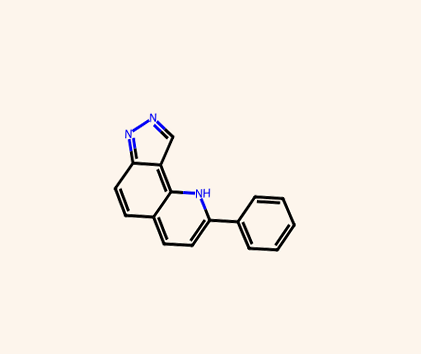 c1ccc(-c2ccc3ccc4nncc4c3[nH]2)cc1